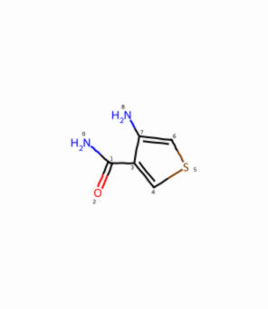 NC(=O)c1cscc1N